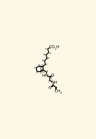 C=CC(=S)NCC(=O)NCC1C2CCC(O2)C1CCCCCCC(=O)O